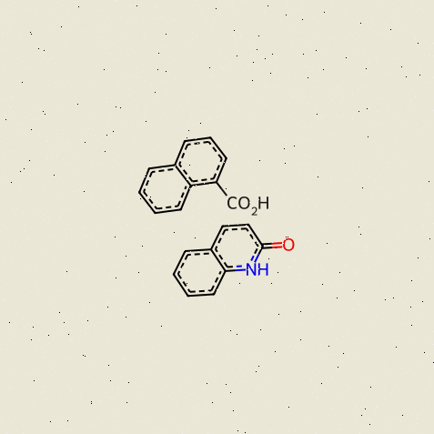 O=C(O)c1cccc2ccccc12.O=c1ccc2ccccc2[nH]1